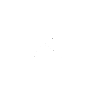 CC(F)(F)OC1(F)CC2C=CC(C2)CC1(F)F